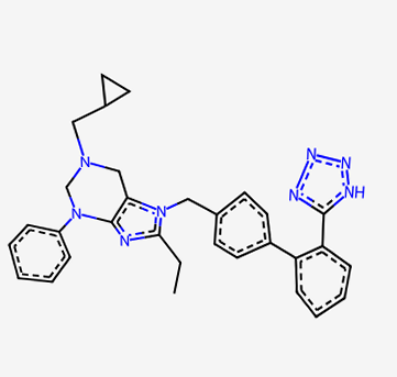 CCc1nc2c(n1Cc1ccc(-c3ccccc3-c3nnn[nH]3)cc1)CN(CC1CC1)CN2c1ccccc1